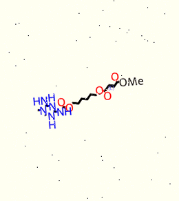 COC(=O)/C=C/C(=O)OCCCCCCOC(=O)NC(=N)NC(=N)N(C)C